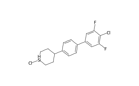 Fc1cc(-c2ccc(C3CC[SiH](Cl)CC3)cc2)cc(F)c1Cl